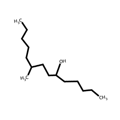 CCCCCC(C)CCC(O)CCCCC